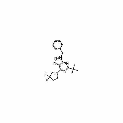 CC(C)(C)c1nc(N2CCC(F)(F)C2)c2nnn(Cc3ccccc3)c2n1